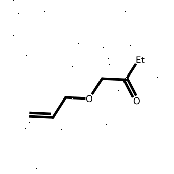 C=CCOCC(=O)CC